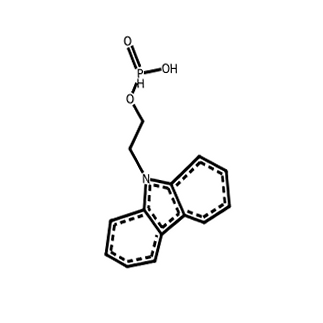 O=[PH](O)OCCn1c2ccccc2c2ccccc21